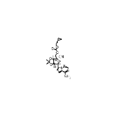 CC1(C)O[C@H]2[C@H](c3ccc4c(N)ncnn34)O[C@](C#N)(COC(=O)OCC3CC3)[C@H]2O1